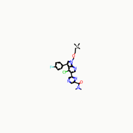 CN(C)C(=O)c1cncc(-c2cnc3c(c(-c4ccc(F)cc4)cn3COCC[Si](C)(C)C)c2Cl)n1